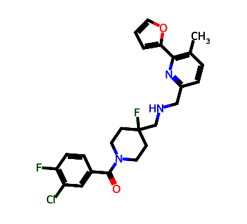 Cc1ccc(CNCC2(F)CCN(C(=O)c3ccc(F)c(Cl)c3)CC2)nc1-c1ccco1